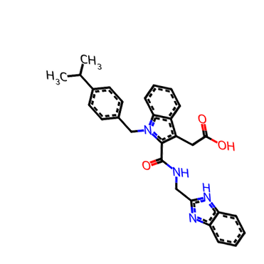 CC(C)c1ccc(Cn2c(C(=O)NCc3nc4ccccc4[nH]3)c(CC(=O)O)c3ccccc32)cc1